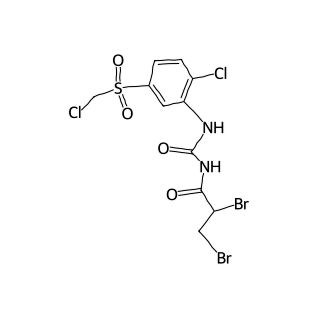 O=C(NC(=O)C(Br)CBr)Nc1cc(S(=O)(=O)CCl)ccc1Cl